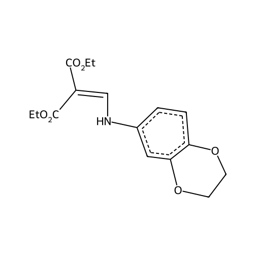 CCOC(=O)C(=CNc1ccc2c(c1)OCCO2)C(=O)OCC